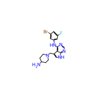 NC1CCN(Cc2c[nH]c3ncnc(Nc4cc(F)cc(Br)c4)c23)CC1